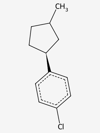 CC1CC[C@H](c2ccc(Cl)cc2)C1